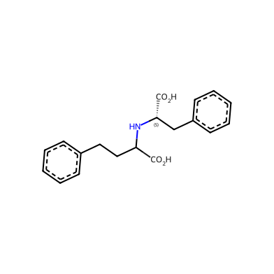 O=C(O)C(CCc1ccccc1)N[C@@H](Cc1ccccc1)C(=O)O